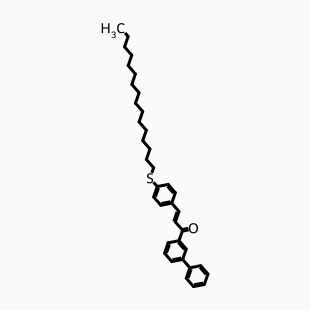 CCCCCCCCCCCCCCCCSc1ccc(C=CC(=O)c2cccc(-c3ccccc3)c2)cc1